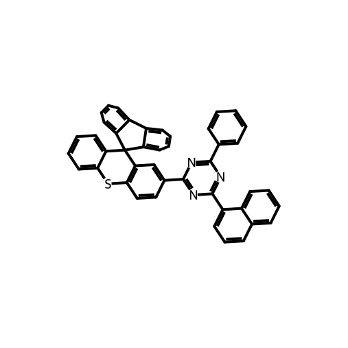 c1ccc(-c2nc(-c3ccc4c(c3)C3(c5ccccc5S4)c4ccccc4-c4ccccc43)nc(-c3cccc4ccccc34)n2)cc1